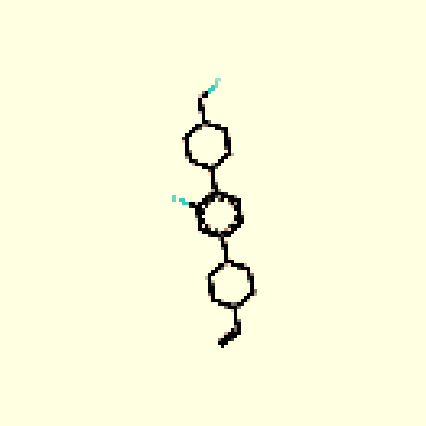 C=CC1CCC(c2ccc(C3CCC(CF)CC3)c(F)c2)CC1